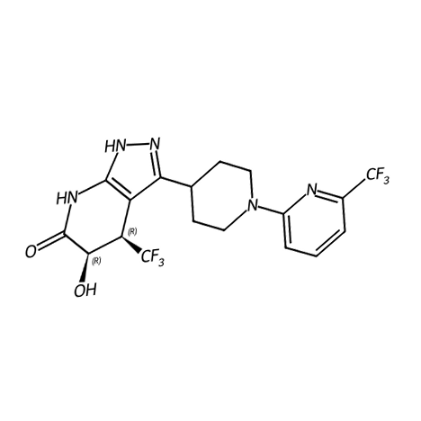 O=C1Nc2[nH]nc(C3CCN(c4cccc(C(F)(F)F)n4)CC3)c2[C@@H](C(F)(F)F)[C@H]1O